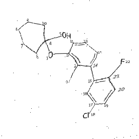 Cc1c(OC2(O)CCCCC2)cccc1-c1cc(Cl)ccc1F